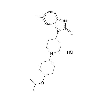 Cc1ccc2[nH]c(=O)n(C3CCN(C4CCC(OC(C)C)CC4)CC3)c2c1.Cl